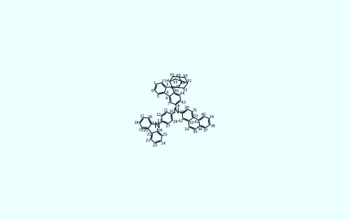 c1ccc2c(c1)-c1cc(N(c3ccc(-n4c5ccccc5c5ccccc54)cc3)c3ccc4c(ccc5ccccc54)c3)ccc1C21C2CC3CC(C2)CC1C3